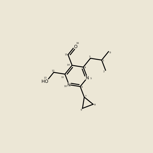 CC(C)Cc1nc(C2CC2)nc(CO)c1C=O